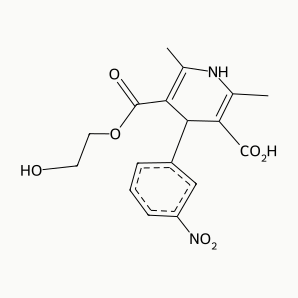 CC1=C(C(=O)O)C(c2cccc([N+](=O)[O-])c2)C(C(=O)OCCO)=C(C)N1